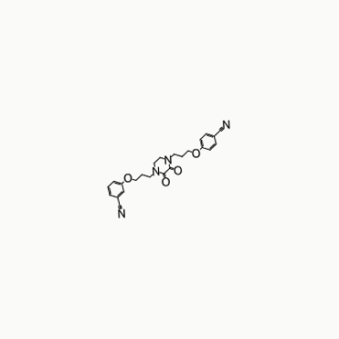 N#Cc1ccc(OCCCN2CCN(CCCOc3cccc(C#N)c3)C(=O)C2=O)cc1